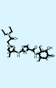 CCN(CC)C(=O)Cn1cc(C)c(Nc2ncc(C(=O)Nc3c(C)cc(Br)c(O)c3C)s2)n1